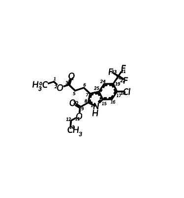 CCOC(=O)CCc1c(C(=O)OCC)[nH]c2cc(Cl)c(C(F)(F)F)cc12